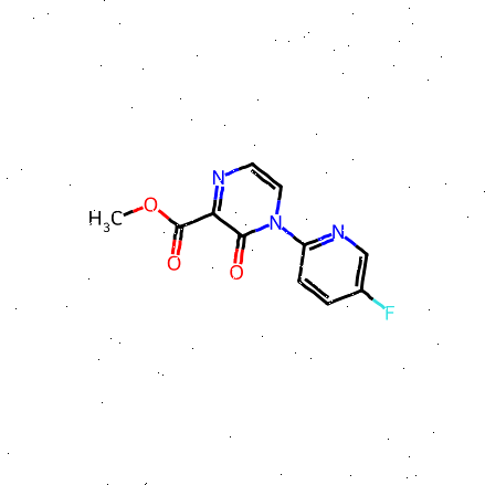 COC(=O)c1nccn(-c2ccc(F)cn2)c1=O